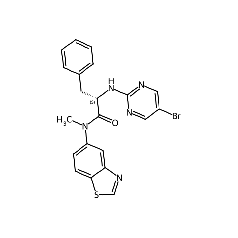 CN(C(=O)[C@H](Cc1ccccc1)Nc1ncc(Br)cn1)c1ccc2scnc2c1